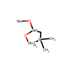 CC(C)(C)O[SiH](C[Si](C)(C)C)OC(C)(C)C